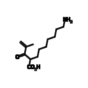 C=C(C)C(=O)C(CCCCCCCN)C(=O)O